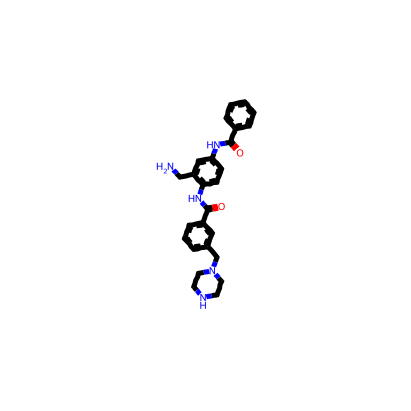 NCc1cc(NC(=O)c2ccccc2)ccc1NC(=O)c1cccc(CN2CCNCC2)c1